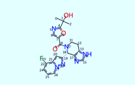 CC(C)(O)c1ncc(C(=O)N2CCc3[nH]cnc3[C@@H]2c2cc3c(F)cccn3n2)o1